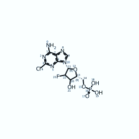 Nc1nc(Cl)nc2c1ncn2[C@@H]1O[C@H](COP(=O)(O)O)C(O)C1F